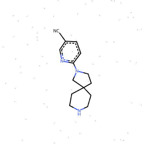 N#Cc1ccc(N2CCC3(CCNCC3)C2)nc1